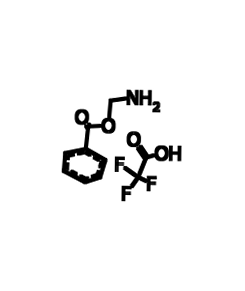 NCOC(=O)c1ccccc1.O=C(O)C(F)(F)F